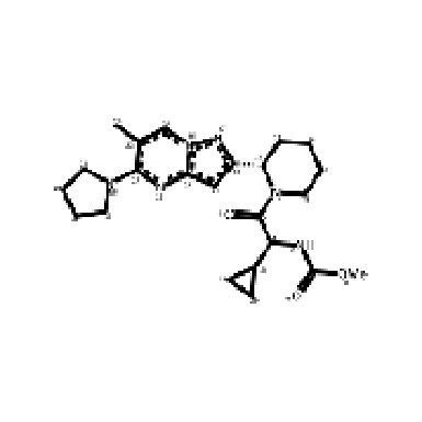 COC(=O)NC(C(=O)N1CCCC[C@H]1c1cc2nc(N3CCCC3)c(C)cn2n1)C1CC1